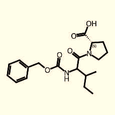 CCC(C)C(NC(=O)OCc1ccccc1)C(=O)N1CCC[C@H]1C(=O)O